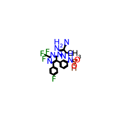 Cc1nn(-c2nc(C(F)(F)F)nc(-c3ccc(F)cc3)c2-c2cccc(N[SH](=O)=O)c2)c(N)c1C#N